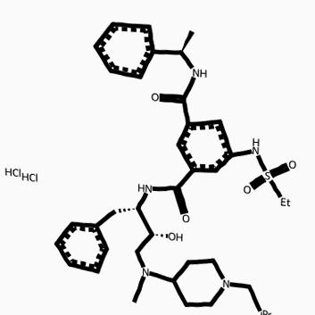 CCS(=O)(=O)Nc1cc(C(=O)N[C@@H](Cc2ccccc2)[C@H](O)CN(C)C2CCN(CC(C)C)CC2)cc(C(=O)N[C@H](C)c2ccccc2)c1.Cl.Cl